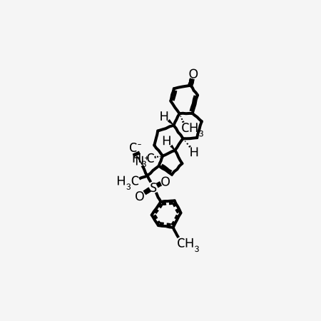 [C-]#[N+]C(C)(C1=CC[C@H]2[C@@H]3CCC4=CC(=O)C=C[C@]4(C)[C@H]3CC[C@]12C)S(=O)(=O)c1ccc(C)cc1